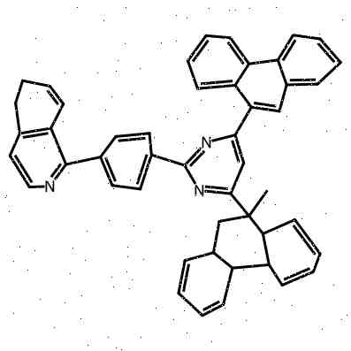 CC1(c2cc(-c3cc4ccccc4c4ccccc34)nc(-c3ccc(-c4nccc5c4C=CCC5)cc3)n2)CC2C=CC=CC2C2C=CC=CC21